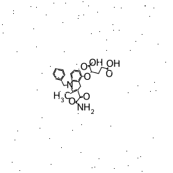 CC1=C(C(=O)C(N)=O)Cc2c(OC(CCC(=O)O)C(=O)O)cccc2N1Cc1ccccc1